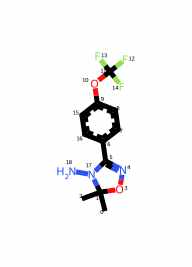 CC1(C)ON=C(c2ccc(OC(F)(F)F)cc2)N1N